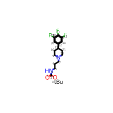 CC(C)(C)OC(=O)NCCCN1CCC(c2cc(F)c(F)c(F)c2)CC1